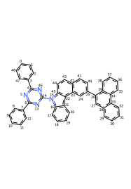 c1ccc(-c2nc(-c3ccccc3)nc(-n3c4ccccc4c4c5cc(-c6cc7ccccc7c7ccccc67)ccc5ccc43)n2)cc1